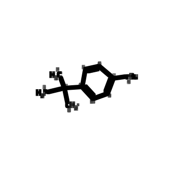 [CH2]C(C)(P)c1ccc(CCCC)cc1